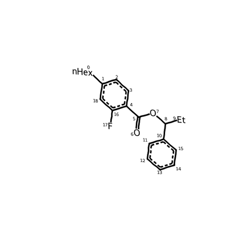 CCCCCCc1ccc(C(=O)OC(CC)c2ccccc2)c(F)c1